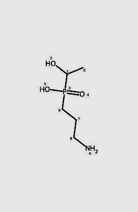 CC(O)P(=O)(O)CCCN